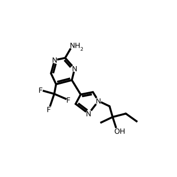 CCC(C)(O)Cn1cc(-c2nc(N)ncc2C(F)(F)F)cn1